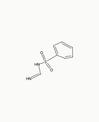 N=[C]NS(=O)(=O)c1ccccc1